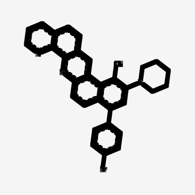 N#Cc1c(N2CCCCC2)cc(-c2ccc(Br)cc2)c2ccc3nc4c(ccc5cccnc54)cc3c12